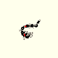 CC(C)(c1ccc(OCc2ccnc(N3CC4(COC4)C3)n2)cc1)c1ccc(OC2CCC(Nc3ccc4c(c3)C(=O)N(C3C=CC(=O)NC3=O)C4=O)CC2)cc1